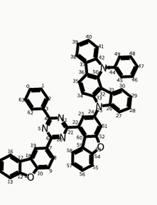 c1ccc(-c2nc(-c3ccc4oc5ccccc5c4c3)nc(-c3cc(-n4c5ccccc5c5c4ccc4c6ccccc6n(-c6ccccc6)c45)cc4oc5ccccc5c34)n2)cc1